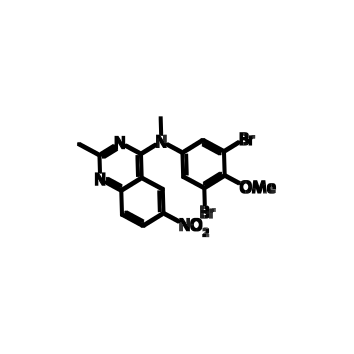 COc1c(Br)cc(N(C)c2nc(C)nc3ccc([N+](=O)[O-])cc23)cc1Br